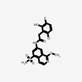 COc1nccc2c(S(N)(=O)=O)cc(NC(=O)Cc3c(Cl)ccc(F)c3O)cc12